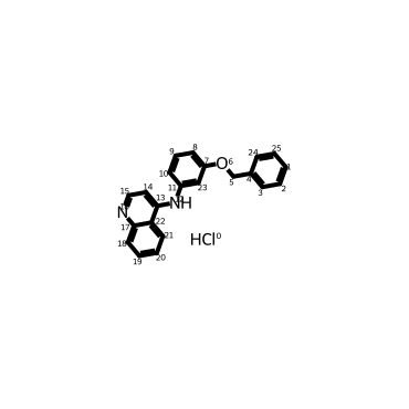 Cl.c1ccc(COc2cccc(Nc3ccnc4ccccc34)c2)cc1